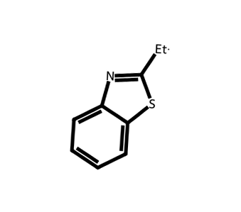 C[CH]c1nc2ccccc2s1